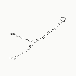 O=CCCCCCCCOC(COCCCCCCCC(=O)O)COCCOCCOCCOCCOCc1ccccc1